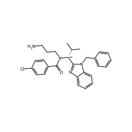 CC(C)[C@H](c1nc2ccccc2n1Cc1ccccc1)N(CCCN)C(=O)c1ccc(Cl)cc1